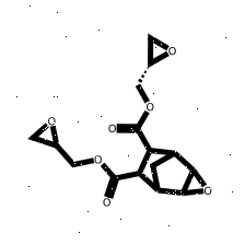 O=C(OCC1CO1)C1C2CC(C3OC23)C1C(=O)OC[C@@H]1CO1